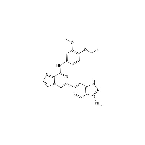 CCOc1ccc(Nc2nc(-c3ccc4c(N)n[nH]c4c3)cn3ccnc23)cc1OC